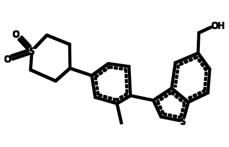 Cc1cc(C2CCS(=O)(=O)CC2)ccc1-c1csc2ccc(CO)cc12